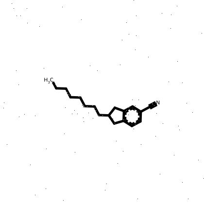 CCCCCCCCC1Cc2ccc(C#N)cc2C1